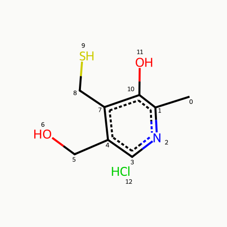 Cc1ncc(CO)c(CS)c1O.Cl